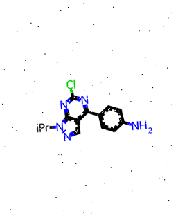 CC(C)n1ncc2c(-c3ccc(N)cc3)nc(Cl)nc21